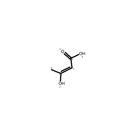 C/C(O)=C\C(=O)O